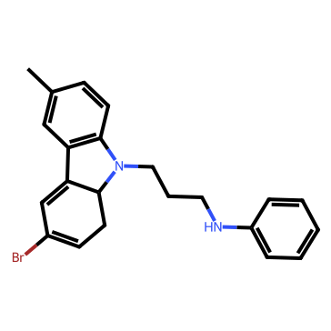 Cc1ccc2c(c1)C1=CC(Br)=CCC1N2CCCNc1ccccc1